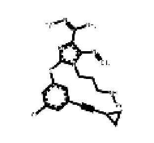 C=Nc1c(/C(N)=N\C)nc(Sc2cc(Cl)cc(C#CC3CC3)c2)n1CCCNC(C)C